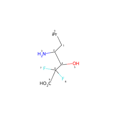 CC(C)CC(N)C(O)C(F)(F)C(=O)O